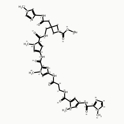 Cn1cnc(NC(=O)CC2(CNC(=O)c3cc(NC(=O)c4nc(NC(=O)CCNC(=O)c5cc(NC(=O)c6nccn6C)cn5C)cn4C)cn3C)CN(C(=O)OC(C)(C)C)C2)c1